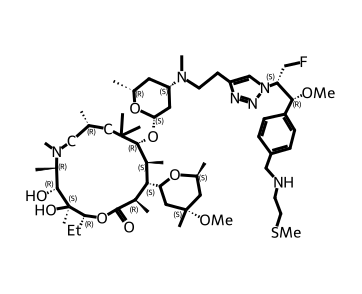 CC[C@H]1OC(=O)[C@H](C)[C@@H](C2C[C@@](C)(OC)C[C@H](C)O2)[C@H](C)[C@@H](O[C@H]2C[C@@H](N(C)CCc3cn([C@H](CF)[C@H](OC)c4ccc(CNCCSC)cc4)nn3)C[C@@H](C)O2)C(C)(C)C[C@@H](C)CN(C)[C@H](C)[C@@H](O)[C@]1(C)O